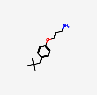 CC(C)(C)Cc1ccc(OCCCN)cc1